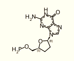 Nc1nc2c(ncn2[C@H]2CC[C@@H](COP)O2)c(=O)[nH]1